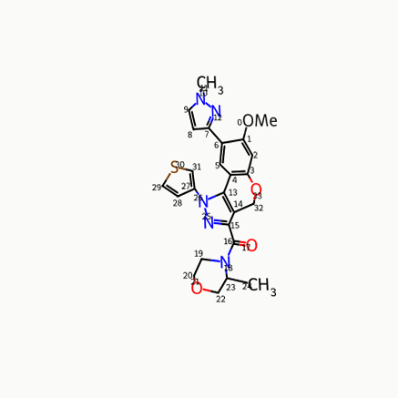 COc1cc2c(cc1-c1ccn(C)n1)-c1c(c(C(=O)N3CCOCC3C)nn1-c1ccsc1)CO2